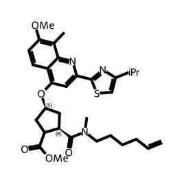 C=CCCCCN(C)C(=O)[C@@H]1C[C@H](Oc2cc(-c3nc(C(C)C)cs3)nc3c(C)c(OC)ccc23)CC1C(=O)OC